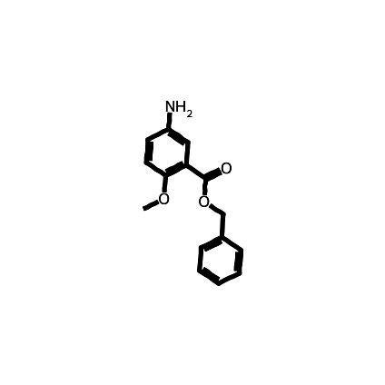 COc1ccc(N)cc1C(=O)OCc1ccccc1